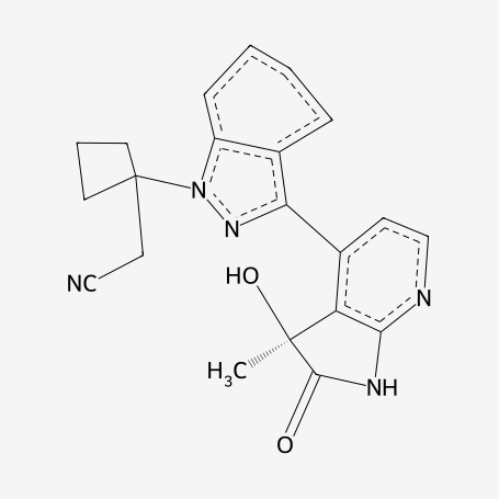 C[C@@]1(O)C(=O)Nc2nccc(-c3nn(C4(CC#N)CCC4)c4ccccc34)c21